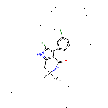 CC1(C)Cc2[nH]c(Br)c(-c3cccc(F)c3)c2C(=O)N1